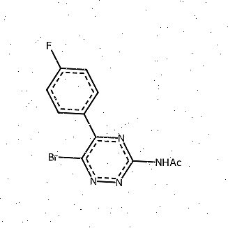 CC(=O)Nc1nnc(Br)c(-c2ccc(F)cc2)n1